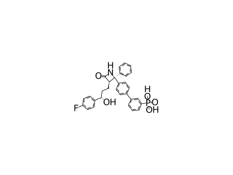 O=C1N[C@@](c2ccccc2)(c2ccc(-c3cccc(P(=O)(O)O)c3)cc2)[C@H]1CC[C@H](O)c1ccc(F)cc1